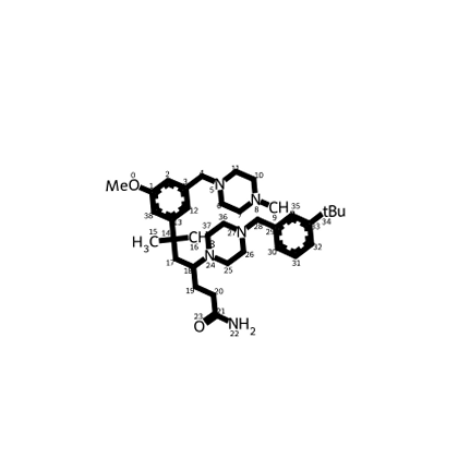 COc1cc(CN2CCN(C)CC2)cc(C(C)(C)CC(CCC(N)=O)N2CCN(Cc3cccc(C(C)(C)C)c3)CC2)c1